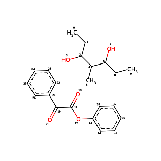 CCC(O)C(C)C(O)CC.O=C(Oc1ccccc1)C(=O)c1ccccc1